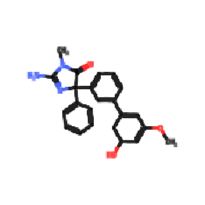 COC1=CC(O)CC(c2cccc(C3(c4ccccc4)N=C(N)N(C)C3=O)c2)=C1